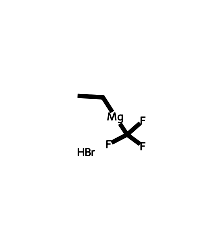 Br.C[CH2][Mg][C](F)(F)F